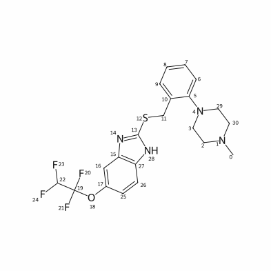 CN1CCN(c2ccccc2CSc2nc3cc(OC(F)(F)C(F)F)ccc3[nH]2)CC1